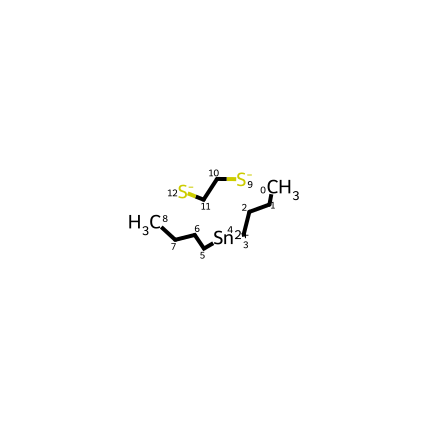 CCC[CH2][Sn+2][CH2]CCC.[S-]CC[S-]